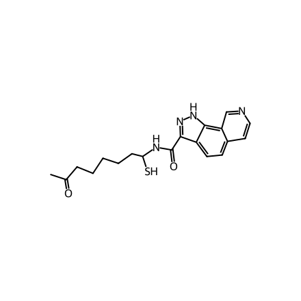 CC(=O)CCCCCC(S)NC(=O)c1n[nH]c2c1ccc1ccncc12